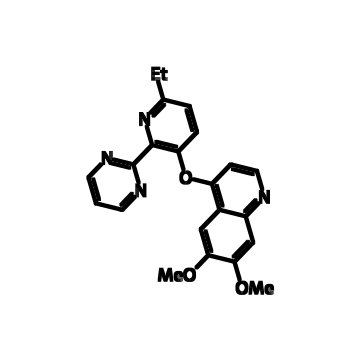 CCc1ccc(Oc2ccnc3cc(OC)c(OC)cc23)c(-c2ncccn2)n1